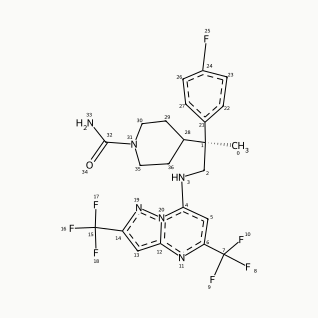 C[C@@](CNc1cc(C(F)(F)F)nc2cc(C(F)(F)F)nn12)(c1ccc(F)cc1)C1CCN(C(N)=O)CC1